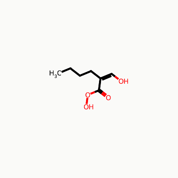 CCCCC(=CO)C(=O)OO